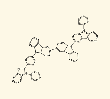 C1=CC2=C(CC1)N(c1ccc3c(c1)c1ccccc1n3-c1ccccc1)C1C=CC(C3=CCC4C(=C3)c3ccccc3N4c3ccc(-c4nc5ccccc5n4-c4ccccc4)cc3)=CC21